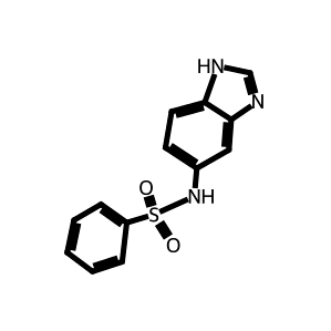 O=S(=O)(Nc1ccc2[nH]cnc2c1)c1ccccc1